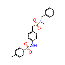 Cc1ccc(S(=O)(=O)Nc2ccc(CS(=O)(=O)N(C)Cc3ccccc3)cc2)cc1